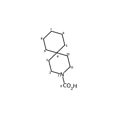 O=C(O)N1CCC2(CCCCC2)CC1